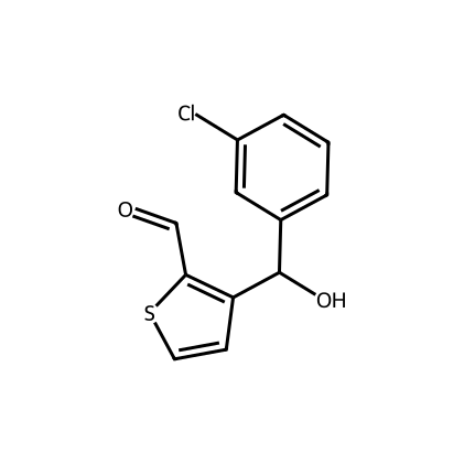 O=Cc1sccc1C(O)c1cccc(Cl)c1